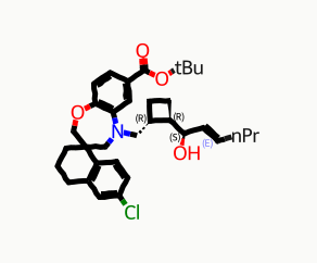 CCC/C=C/[C@@H](O)[C@@H]1CC[C@H]1CN1CC2(CCCc3cc(Cl)ccc32)COc2ccc(C(=O)OC(C)(C)C)cc21